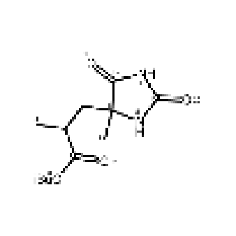 CC(C)COC(=O)C(C)CC1(C)NC(=O)NC1=O